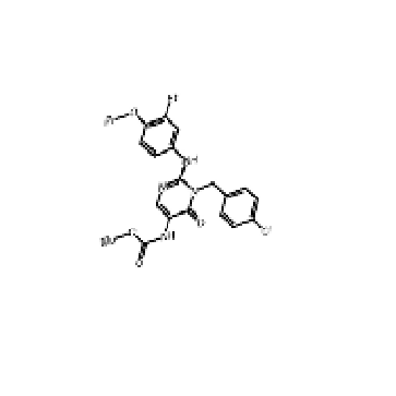 CCc1cc(Nc2ncc(NC(=O)OC(C)(C)C)c(=O)n2Cc2ccc(Cl)cc2)ccc1OC(C)C